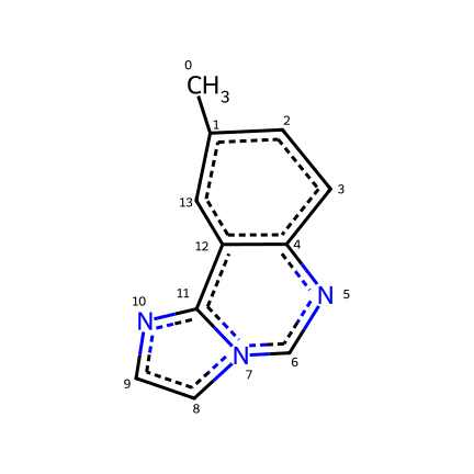 Cc1ccc2ncn3ccnc3c2c1